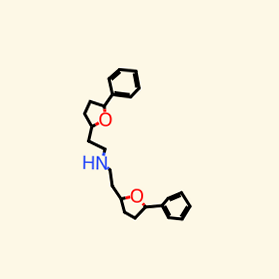 c1ccc(C2CCC(CCNCCC3CCC(c4ccccc4)O3)O2)cc1